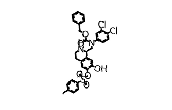 Cc1ccc(S(=O)(=O)Oc2cc3c(cc2O)C(CN(C(=O)OCc2ccccc2)c2ccc(Cl)c(Cl)c2)NCC3)cc1